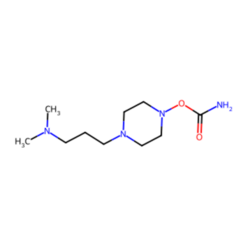 CN(C)CCCN1CCN(OC(N)=O)CC1